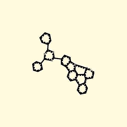 c1ccc(-c2nc(-c3ccccc3)nc(-c3ccc4c(c3)c3ccc5c6ccccc6c6cccc7c6c5c3n47)n2)cc1